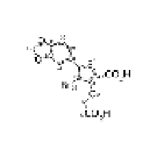 O=C(O)COc1c(C(=O)O)sc(-c2ccc3c(c2)OCO3)c1Br